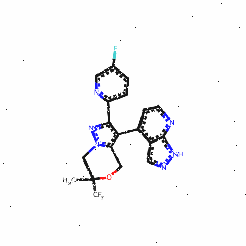 CC1(C(F)(F)F)Cn2nc(-c3ccc(F)cn3)c(-c3ccnc4[nH]ncc34)c2CO1